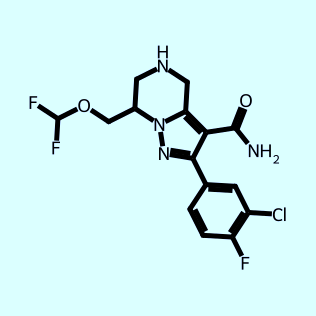 NC(=O)c1c(-c2ccc(F)c(Cl)c2)nn2c1CNCC2COC(F)F